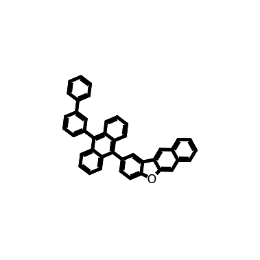 c1ccc(-c2cccc(-c3c4ccccc4c(-c4ccc5oc6cc7ccccc7cc6c5c4)c4ccccc34)c2)cc1